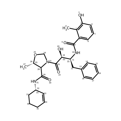 Cc1c(O)cccc1C(=O)N[C@@H](Cc1ccccc1)[C@H](O)C(=O)N1CO[C@@H](C)C1C(=O)N[C@@H]1C=CCCC1